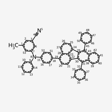 Cc1cc(C#N)cc(N(c2ccccc2)c2ccc(-c3ccc4c5c(cccc35)-c3c-4c(-c4ccccc4)c4ccccc4c3-c3ccccc3)cc2)c1